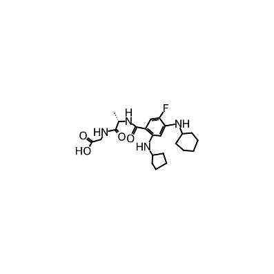 C[C@H](NC(=O)c1cc(F)c(NC2CCCCC2)cc1NC1CCCC1)C(=O)NCC(=O)O